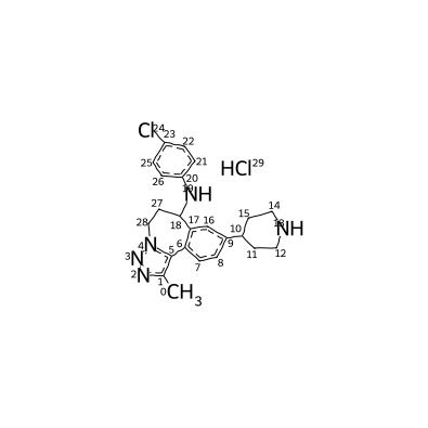 Cc1nnn2c1-c1ccc(C3CCNCC3)cc1C(Nc1ccc(Cl)cc1)CC2.Cl